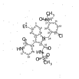 CCc1ccc2c(c1)c(-c1ccc[nH]c1=O)c(C(=O)NS(C)(=O)=O)n2Cc1cc([NH+](C)[O-])ccc1Cl